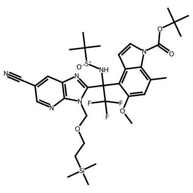 COc1cc(C)c2c(ccn2C(=O)OC(C)(C)C)c1C(N[S+]([O-])C(C)(C)C)(c1nc2cc(C#N)cnc2n1COCC[Si](C)(C)C)C(F)(F)F